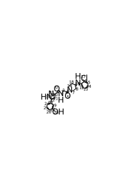 O=C(NCC(=O)N1CCC(Nc2ccccc2Cl)CC1)c1cc(-c2cccc(O)c2)[nH]n1